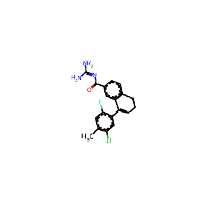 Cc1cc(F)c(C2=CCCc3ccc(C(=O)N=C(N)N)cc32)cc1Cl